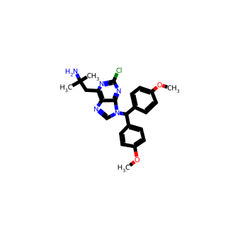 COc1ccc(C(c2ccc(OC)cc2)n2cnc3c(CC(C)(C)N)nc(Cl)nc32)cc1